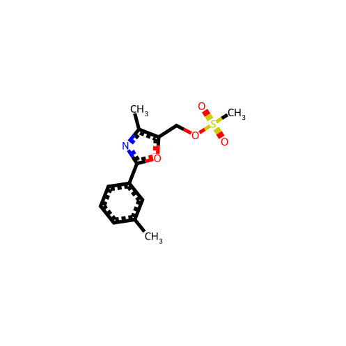 Cc1cccc(-c2nc(C)c(COS(C)(=O)=O)o2)c1